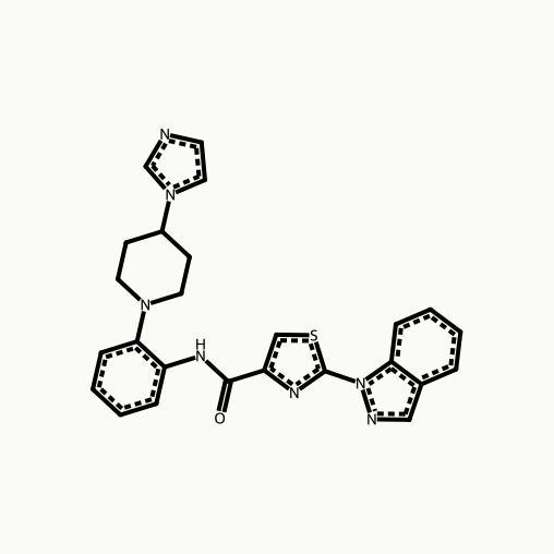 O=C(Nc1ccccc1N1CCC(n2ccnc2)CC1)c1csc(-n2ncc3ccccc32)n1